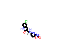 C[C@H](Nc1ccc2oc(=O)[nH]c2n1)c1cc2cc(Cl)ccc2[nH]c1=O